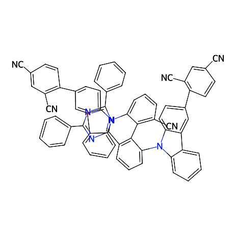 N#Cc1ccc(-c2ccc3c(c2)c2ccccc2n3-c2cccc(C#N)c2-c2c(-c3nc(-c4ccccc4)nc(-c4ccccc4)n3)cccc2-n2c3ccccc3c3cc(-c4ccc(C#N)cc4C#N)ccc32)c(C#N)c1